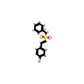 O=S(=O)(C=Cc1ccc(I)cc1)Cc1ccccc1